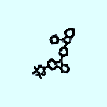 CC1(C)OB(c2ccc3c(c2)c2ccccc2n3-c2ccc(-c3cc4ccccc4n3-c3ccccc3)cc2)OC1(C)C